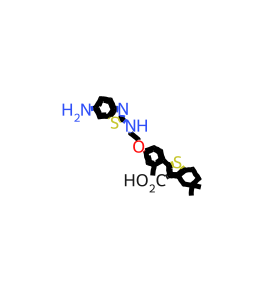 Cc1cc(OCCNc2nc3ccc(N)cc3s2)ccc1-c1sc2c(c1C(=O)O)CC(C)(C)CC2